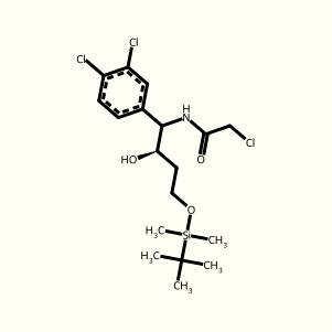 CC(C)(C)[Si](C)(C)OCC[C@@H](O)C(NC(=O)CCl)c1ccc(Cl)c(Cl)c1